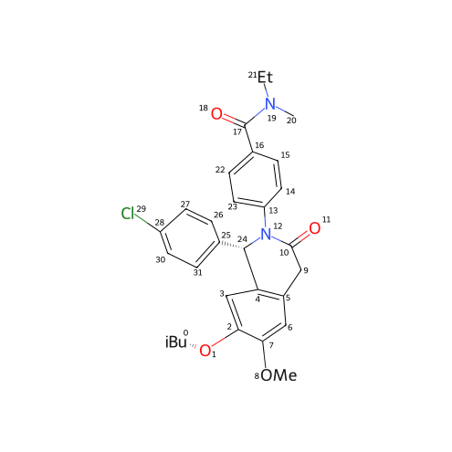 CC[C@@H](C)Oc1cc2c(cc1OC)CC(=O)N(c1ccc(C(=O)N(C)CC)cc1)[C@H]2c1ccc(Cl)cc1